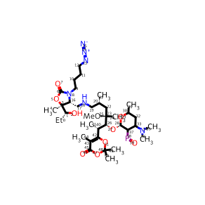 CC[C@@H](O)[C@@]1(C)OC(=O)N(CCCCN=[N+]=[N-])[C@@H]1CNC[C@H](C)C[C@@](C)(OC)[C@H](O[C@@H]1OC(C)CC(N(C)C)C1P=O)[C@@H](C)C1=C(C)C(=O)OC(C)(C)O1